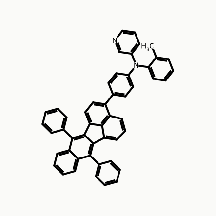 Cc1ccccc1N(c1ccc(-c2ccc3c4c(cccc24)-c2c-3c(-c3ccccc3)c3ccccc3c2-c2ccccc2)cc1)c1cccnc1